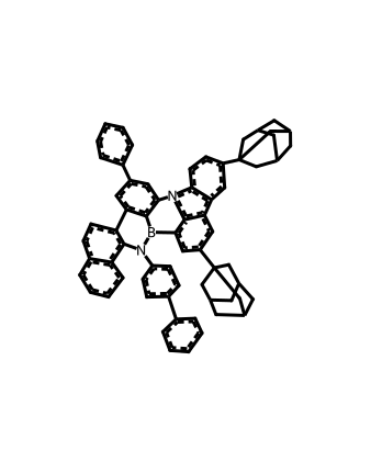 c1ccc(-c2ccc(N3B4c5c(cc(-c6ccccc6)cc5-n5c6ccc(C78CC9CC(CC(C9)C7)C8)cc6c6cc(C78CC9CC(CC(C9)C7)C8)cc4c65)-c4ccc5ccccc5c43)cc2)cc1